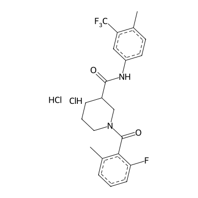 Cc1ccc(NC(=O)C2CCCN(C(=O)c3c(C)cccc3F)C2)cc1C(F)(F)F.Cl.Cl